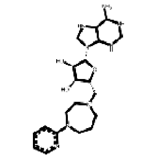 NC1NCNC2C1NCN2[C@@H]1O[C@H](CN2CCCN(c3ccccn3)CC2)[C@@H](O)[C@H]1O